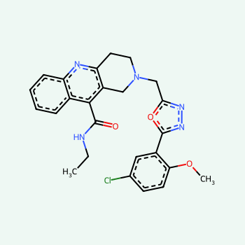 CCNC(=O)c1c2c(nc3ccccc13)CCN(Cc1nnc(-c3cc(Cl)ccc3OC)o1)C2